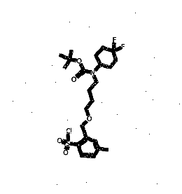 Cc1ccc(S(=O)(=O)Cl)c(COCCCCN(C(=O)OC(C)(C)C)C2CCC(F)(F)CC2)c1